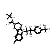 [2H]C([2H])([2H])c1ccc(C([2H])([2H])C([2H])([2H])n2c3c(c4cc(C)ccc42)CN(C(=O)OC(C)(C)C)CC3)cn1